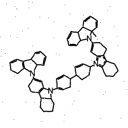 CC12C=CC=CC1C1C=CC=CC1N2C1=Cc2c(c3c(n2C2C=CC(C4C=CC(N5C6=C(CCC(N7C8=C(C=CCC8)C8C=CC=CC87)=C6)C6CCCCC65)=CC4)CC2)CCCC3)CC1